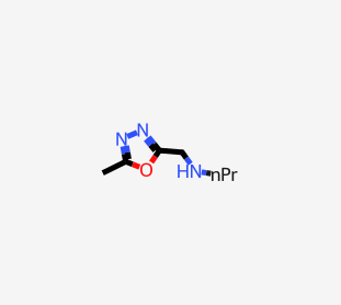 CCCNCc1nnc(C)o1